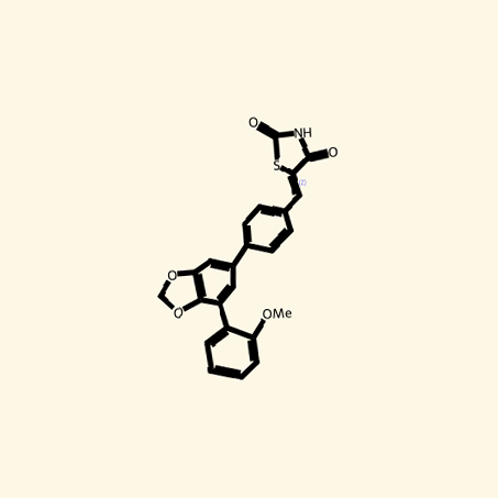 COc1ccccc1-c1cc(-c2ccc(/C=C3\SC(=O)NC3=O)cc2)cc2c1OCO2